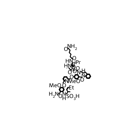 CC/C=C\C(C)C(Nc1cc(OCc2cccc(COc3cc4c(cc3OC)C(=O)N3c5ccccc5C[C@H]3CN4C(=O)ONC(=O)[C@H](C)NC(=O)[C@@H](NC(=O)CCCCC(N)=O)C(C)C)n2)c(OC)cc1C(N)=O)S(=O)(=O)O